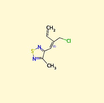 C=C/C(=C\c1nsnc1C)CCl